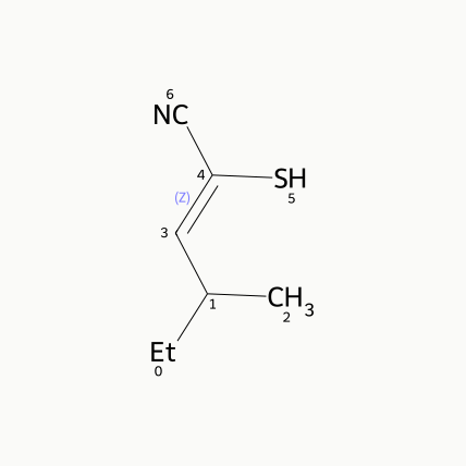 CCC(C)/C=C(\S)C#N